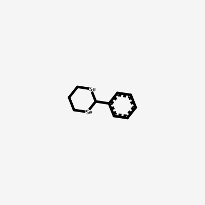 c1ccc(C2[Se]CCC[Se]2)cc1